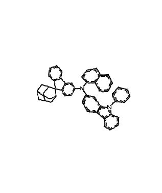 c1ccc(-n2c3ccccc3c3ccc(N(c4ccc5c(c4)-c4ccccc4C54C5CC6CC(C5)CC4C6)c4cccc5ccccc45)cc32)cc1